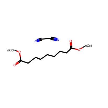 CCCCCCCCOC(=O)CCCCCCCC(=O)OCCCCCCCC.N#CC#N